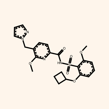 COc1cccc(OC2CCC2)c1S(=O)(=O)NC(=O)c1ccc(Cn2cccn2)c(OC)n1